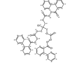 CCC(COC(=O)OOC(=O)c1ccccc1-c1ccccc1)(COC(=O)OOC(=O)c1ccccc1-c1ccccc1)COC(=O)OOC(=O)c1ccccc1-c1ccccc1